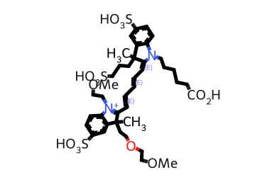 COCCOCCC1(C)C(/C=C/C=C/C=C2/N(CCCCCC(=O)O)c3ccc(S(=O)(=O)O)cc3C2(C)CCCS(=O)(=O)O)=[N+](CCOC)c2ccc(S(=O)(=O)O)cc21